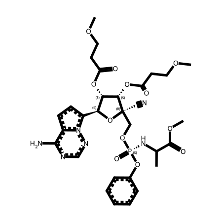 COCCC(=O)O[C@H]1[C@H](c2ccc3c(N)ncnn23)O[C@](C#N)(CO[P@@](=O)(NC(C)C(=O)OC)Oc2ccccc2)[C@H]1OC(=O)CCOC